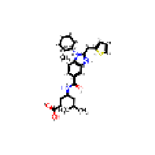 CC(C)CC(CCC(=O)O)NC(=O)c1ccc2c(c1)nc(Cc1cccs1)n2[C@@H]1CCCC[C@H]1C